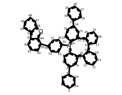 c1ccc(-c2ccc3c(c2)c2ccccc2c2ccccc2c2cc(-c4ccccc4)ccc2n3-c2ccc(-c3cccc4c3oc3ccccc34)cc2)cc1